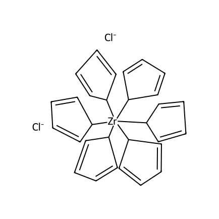 C1=C[CH]([Zr]([CH]2C=CC=C2)([CH]2C=CC=C2)([CH]2C=CC=C2)([CH]2C=CC=C2)[CH]2C=CC=C2)C=C1.[Cl-].[Cl-]